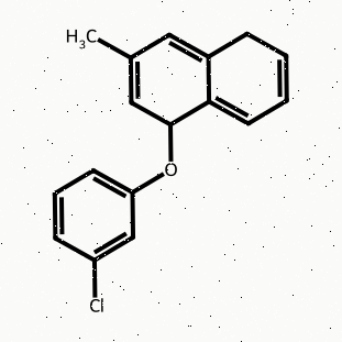 CC1=CC(Oc2cccc(Cl)c2)C2=CC=CCC2=C1